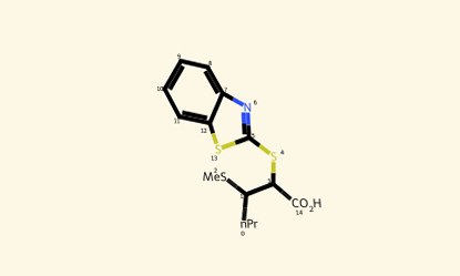 CCCC(SC)C(Sc1nc2ccccc2s1)C(=O)O